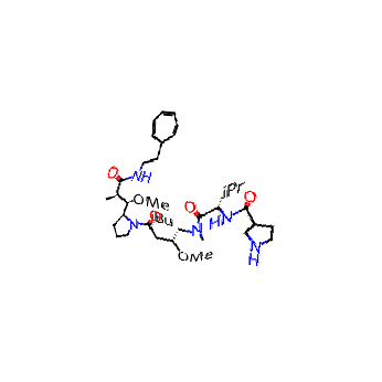 CC[C@H](C)[C@@H](C(CC(=O)N1CCC[C@H]1[C@H](OC)[C@@H](C)C(=O)NCCC1C=CC=CC=C1)OC)N(C)C(=O)[C@@H](NC(=O)C1CCNC1)C(C)C